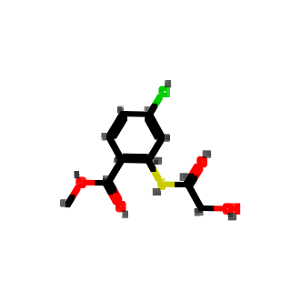 COC(=O)c1ccc(Cl)cc1SC(=O)CO